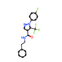 O=C(NCCc1ccccc1)c1cnn(-c2ccc(F)cc2)c1C(F)(F)F